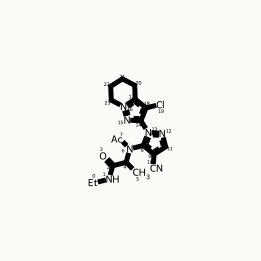 CCNC(=O)C(C)N(C(C)=O)c1c(C#N)cnn1-c1nn2c(c1Cl)CCCC2